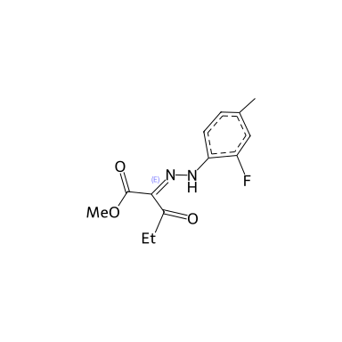 CCC(=O)/C(=N\Nc1ccc(C)cc1F)C(=O)OC